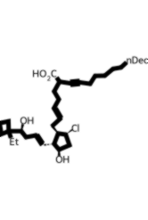 CCCCCCCCCCCCCCCC#CC(CCC=CC[C@@H]1[C@@H](C=CC[C@H](O)C2(CC)CCC2)[C@H](O)C[C@H]1Cl)C(=O)O